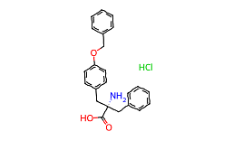 Cl.N[C@@](Cc1ccccc1)(Cc1ccc(OCc2ccccc2)cc1)C(=O)O